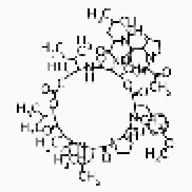 CC[C@H](C)[C@H]1NC(=O)[C@@H](NC(=O)[C@@H](CC(C)C)N(C)C(=O)[C@H]2CCCN2C(=O)C(C)=O)[C@@H](C)OC(=O)[C@H](Cc2ccc(OC)cc2)N(C)C(=O)[C@@H]2CCCN2C(=O)[C@H](CC(C)C)NC(=O)[C@@H](C)C(=O)[C@H](C(C)C)OC(=O)C[C@@H]1O